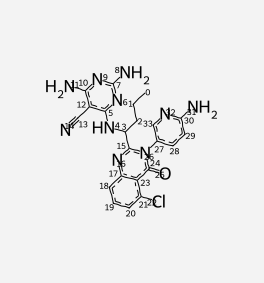 CCCC(Nc1nc(N)nc(N)c1C#N)c1nc2cccc(Cl)c2c(=O)n1-c1ccc(N)nc1